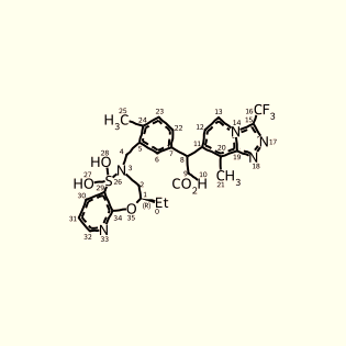 CC[C@@H]1CN(Cc2cc(C(CC(=O)O)c3ccn4c(C(F)(F)F)nnc4c3C)ccc2C)S(O)(O)c2cccnc2O1